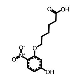 O=C(O)CCCCCOc1cc(O)ccc1[N+](=O)[O-]